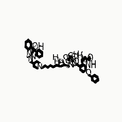 CC(C)(C)[Si](C)(C)O[C@@H](CNCCCCCCCCCN1CCC(Cn2cnc([C@](O)(c3ccccc3)C3CCCCC3)n2)CC1)c1ccc(OCc2ccccc2)c2[nH]c(=O)ccc12